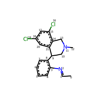 C/C=N/c1ccccc1C1CN(C)Cc2c(Cl)cc(Cl)cc21